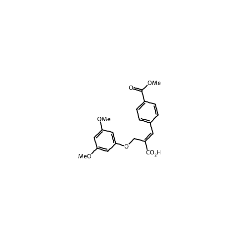 COC(=O)c1ccc(C=C(COc2cc(OC)cc(OC)c2)C(=O)O)cc1